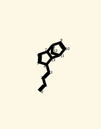 C=CC=CC1C=CC2C3C=CC(C3)C12